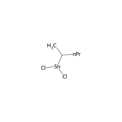 CCC[CH](C)[Sn]([Cl])[Cl]